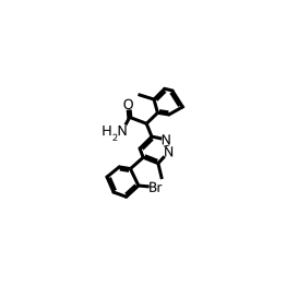 Cc1ccccc1C(C(N)=O)c1cc(-c2ccccc2Br)c(C)nn1